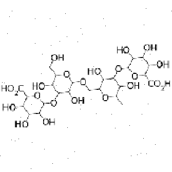 CC1OC(COC2OC(CO)C(O)C(OC3OC(C(=O)O)C(O)C(O)C3O)C2O)C(O)C(OC2OC(C(=O)O)C(O)C(O)C2O)C1O